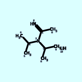 CC(=N)N(C(C)C)C(C)C.[LiH]